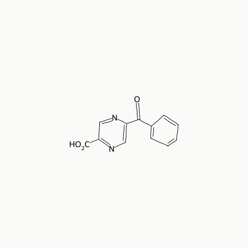 O=C(O)c1cnc(C(=O)c2ccccc2)cn1